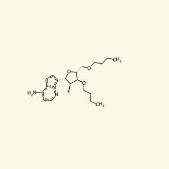 CCCCOC[C@H]1O[C@@H](c2ccc3c(N)ncnn23)[C@H](F)[C@@H]1OCCCC